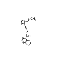 COCc1ccsc1C#CCCNc1ncnc2ccccc12